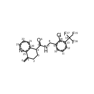 C=C1CCC(C(=O)NCc2cccc(C(F)(F)F)c2Cl)c2cccnc21